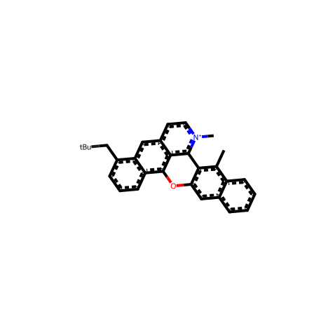 Cc1c2c(cc3ccccc13)Oc1c3cccc(CC(C)(C)C)c3cc3cc[n+](C)c-2c13